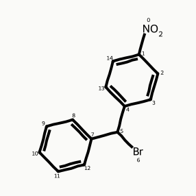 O=[N+]([O-])c1ccc(C(Br)c2ccccc2)cc1